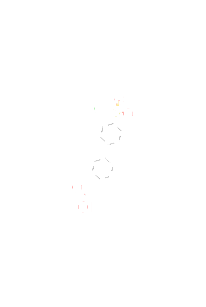 O=C(O)Cc1ccc(-c2ccc(S(=O)(=O)Cl)cc2)cc1